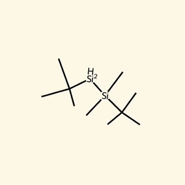 CC(C)(C)[SiH2][Si](C)(C)C(C)(C)C